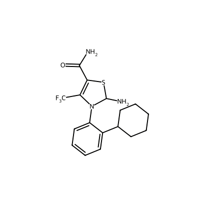 NC(=O)C1=C(C(F)(F)F)N(c2ccccc2C2CCCCC2)C(N)S1